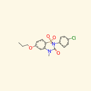 CCCOc1ccc2c(c1)N(C)C(=O)N(c1ccc(Cl)cc1)S2(=O)=O